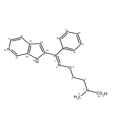 CN(CCO/N=C(\c1ccccc1)c1cc2ccncc2[nH]1)C(=O)O